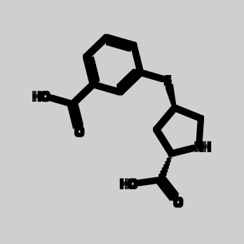 O=C(O)c1cccc(S[C@H]2CN[C@H](C(=O)O)C2)c1